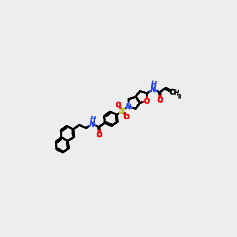 C=CC(=O)NC1CC2CN(S(=O)(=O)c3ccc(C(=O)NCCc4ccc5ccccc5c4)cc3)CC2O1